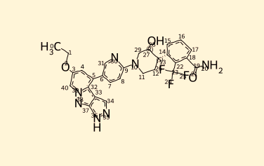 CCOc1cc(-c2ccc(N3CC[C@@H](c4cccc(C(N)=O)c4C(F)(F)F)[C@@H](O)C3)nc2)c2c3cn[nH]c3nn2c1